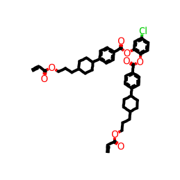 C=CC(=O)OCCCC1CCC(c2ccc(C(=O)Oc3ccc(Cl)cc3OC(=O)c3ccc(C4CCC(CCCOC(=O)C=C)CC4)cc3)cc2)CC1